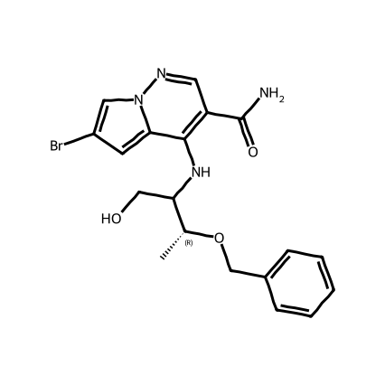 C[C@@H](OCc1ccccc1)C(CO)Nc1c(C(N)=O)cnn2cc(Br)cc12